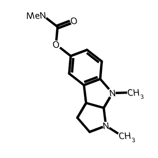 CNC(=O)Oc1ccc2c(c1)C1CCN(C)C1N2C